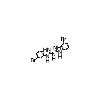 N=C(NC(=N)Nc1cccc(Br)c1)Nc1cccc(Br)c1